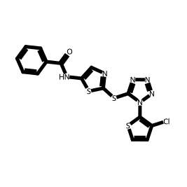 O=C(Nc1cnc(Sc2nnnn2-c2sccc2Cl)s1)c1ccccc1